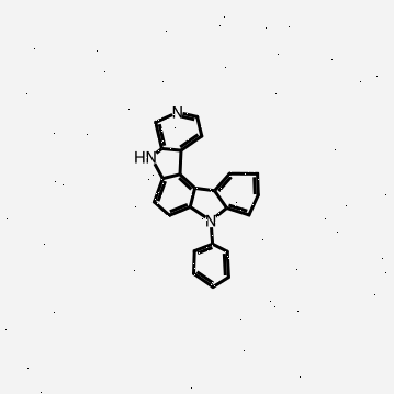 c1ccc(-n2c3ccccc3c3c4c(ccc32)[nH]c2cnccc24)cc1